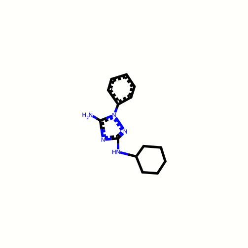 Nc1nc(NC2CCCCC2)nn1-c1ccccc1